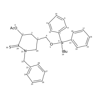 CC(=O)OC1CC(CO[Si](c2ccccc2)(c2ccccc2)C(C)(C)C)CN(Cc2ccccc2)C1=S